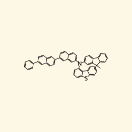 CC1(C)c2ccccc2-c2ccc(N(c3ccc4ccc(-c5ccc6cc(-c7ccccc7)ccc6c5)cc4c3)c3cccc4sc5ccccc5c34)cc21